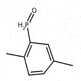 Cc1ccc(C)c([PH2]=O)c1